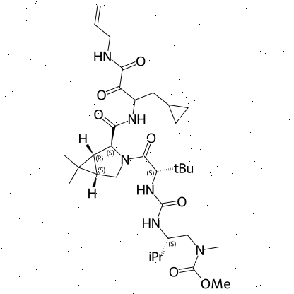 C=CCNC(=O)C(=O)C(CC1CC1)NC(=O)[C@@H]1[C@@H]2[C@H](CN1C(=O)[C@@H](NC(=O)N[C@H](CN(C)C(=O)OC)C(C)C)C(C)(C)C)C2(C)C